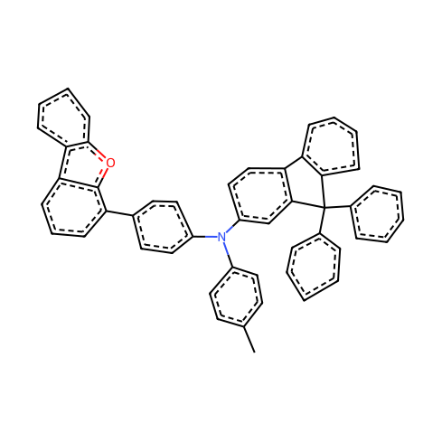 Cc1ccc(N(c2ccc(-c3cccc4c3oc3ccccc34)cc2)c2ccc3c(c2)C(c2ccccc2)(c2ccccc2)c2ccccc2-3)cc1